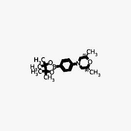 C[C@@H]1CN(c2ccc(B3OC(C)(C)C(C)(C)O3)cc2)C[C@H](C)O1